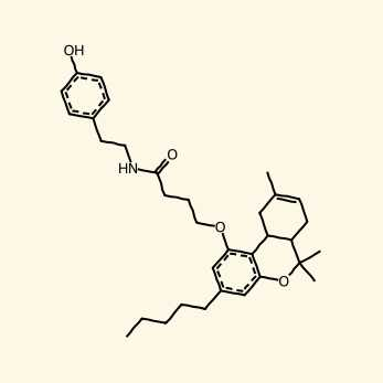 CCCCCc1cc(OCCCC(=O)NCCc2ccc(O)cc2)c2c(c1)OC(C)(C)C1CC=C(C)CC21